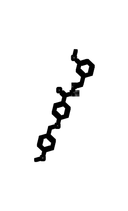 COc1ccc(COc2ccc(C(=O)N/N=C/c3cccc(OC)c3)cc2)cc1